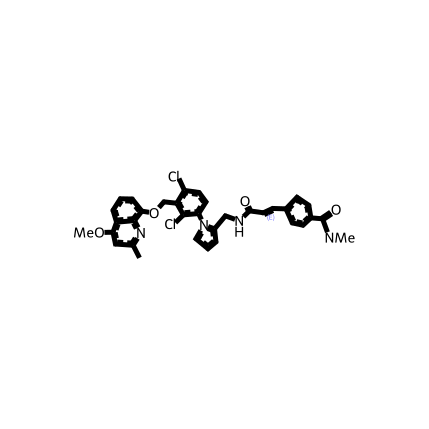 CNC(=O)c1ccc(/C=C/C(=O)NCc2cccn2-c2ccc(Cl)c(COc3cccc4c(OC)cc(C)nc34)c2Cl)cc1